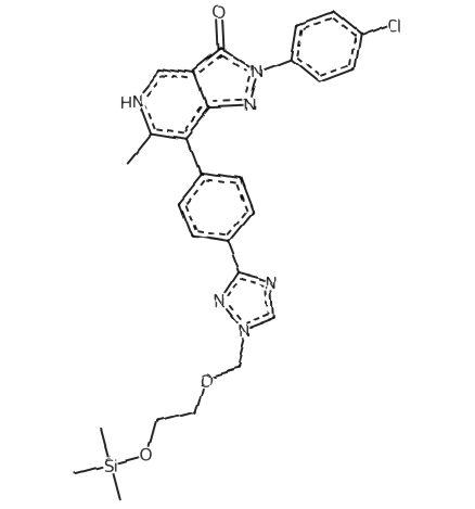 Cc1[nH]cc2c(=O)n(-c3ccc(Cl)cc3)nc-2c1-c1ccc(-c2ncn(COCCO[Si](C)(C)C)n2)cc1